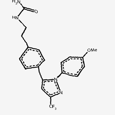 COc1ccc(-n2nc(C(F)(F)F)cc2-c2ccc(CCNC(N)=O)cc2)cc1